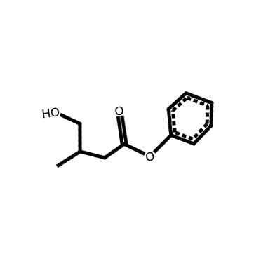 CC(CO)CC(=O)Oc1ccccc1